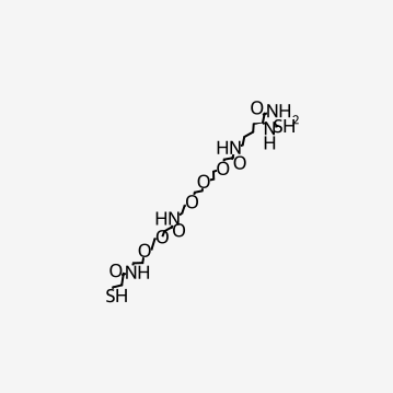 NC(=O)[C@H](CCCCNC(=O)COCCOCCOCCNC(=O)COCCOCCNC(=O)CCS)NS